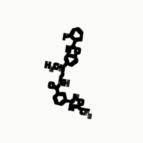 CN(CCNC(=O)c1cccc(-c2noc(C(F)(F)F)n2)c1)c1ccc2oc(-c3ccccc3F)nc2c1